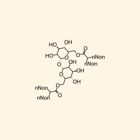 CCCCCCCCCC(CCCCCCCCC)C(=O)OCC1O[C@H](O[C@H]2OC(COC(=O)C(CCCCCCCCC)CCCCCCCCC)[C@@H](O)[C@H](O)C2O)C(O)[C@@H](O)[C@@H]1O